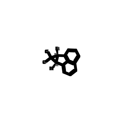 CC[C@]1(c2ccccc2)C(Cl)(Cl)[C@@]1(CC)c1ccccc1